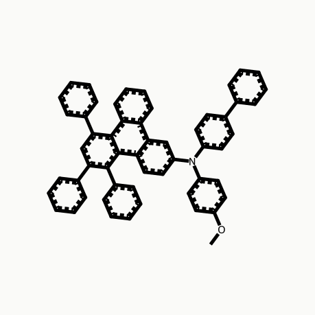 COc1ccc(N(c2ccc(-c3ccccc3)cc2)c2ccc3c(c2)c2ccccc2c2c(-c4ccccc4)cc(-c4ccccc4)c(-c4ccccc4)c32)cc1